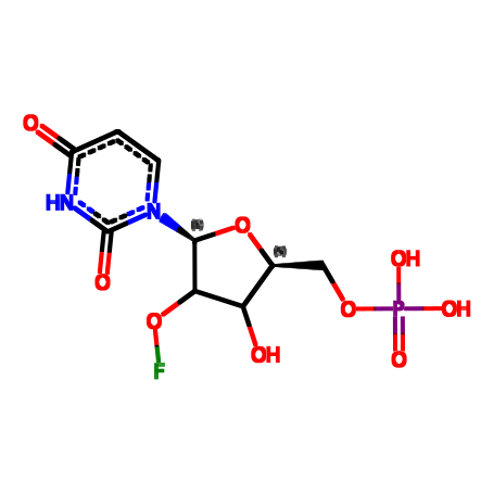 O=c1ccn([C@H]2O[C@@H](COP(=O)(O)O)C(O)C2OF)c(=O)[nH]1